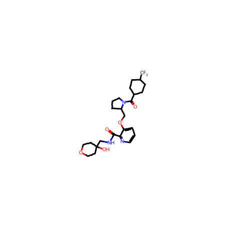 O=C(NCC1(O)CCOCC1)c1ncccc1OCC1CCCN1C(=O)C1CCC(C(F)(F)F)CC1